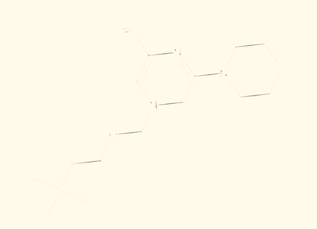 C[Si](C)(C)CCOCN1C=C(Br)N=C(N2CCOCC2)C1